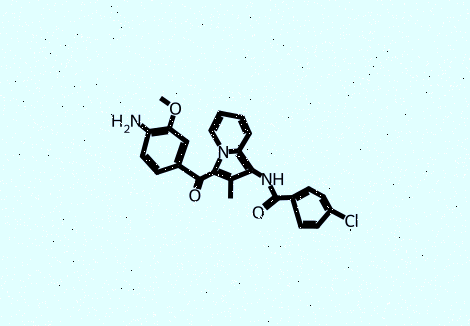 COc1cc(C(=O)c2c(C)c(NC(=O)c3ccc(Cl)cc3)c3ccccn23)ccc1N